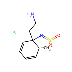 CC1C=CC=CC1(CCN)N=S(=O)=O.Cl